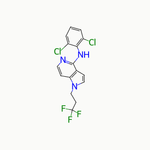 FC(F)(F)CCn1ccc2c(Nc3c(Cl)cccc3Cl)nccc21